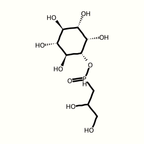 O=[PH](CC(O)CO)O[C@@H]1[C@@H](O)[C@H](O)[C@@H](O)[C@H](O)[C@@H]1O